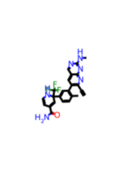 C#Cc1nc2nc(NC)ncc2cc1-c1cc(C2(C(F)(F)F)C=C(C(N)=O)C=CN2)ccc1C